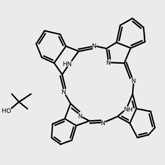 CC(C)(C)O.c1ccc2c(c1)-c1nc-2nc2[nH]c(nc3nc(nc4[nH]c(n1)c1ccccc41)-c1ccccc1-3)c1ccccc21